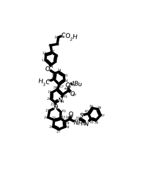 Cc1c(Oc2ccc(CCCC(=O)O)cc2)cccc1-c1ccc(N2CCc3cccc(C(=O)Nc4nc5ccccc5s4)c3C2)nc1C(=O)OC(C)(C)C